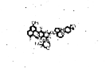 C#Cc1c(F)ccc2cc(O)cc(-c3nc(OC)c4c(N5CCOC[C@@](C)(O)C5)nc(OC[C@]56CCC[C@H]5N(C5CCC7(CC5)COC7)CCC6)nc4c3F)c12